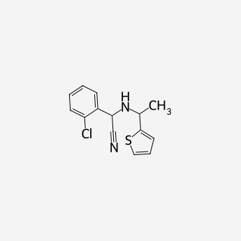 CC(NC(C#N)c1ccccc1Cl)c1cccs1